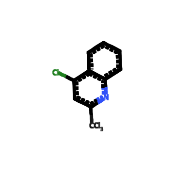 Clc1cc(C(Cl)(Cl)Cl)nc2ccccc12